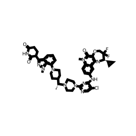 C[C@H](C1CCN(c2cccc3c(C4CCC(=O)NC4=O)nn(C)c23)CC1)N1CCN(c2ncc(Cl)c(Nc3ccc4c(c3)c3c(c(=O)n4C)OCC(F)(F)[C@H](C4CC4)N3)n2)CC1